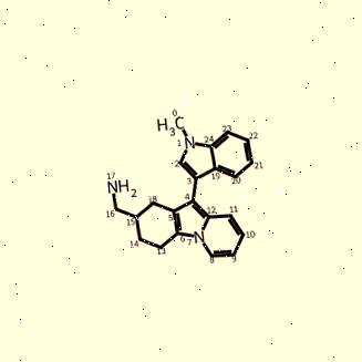 Cn1cc(-c2c3c(n4ccccc24)CCC(CN)C3)c2ccccc21